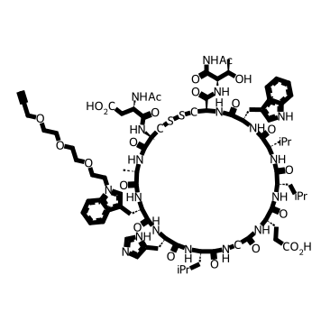 C#CCOCCOCCOCCn1cc(C[C@@H]2NC(=O)[C@H](C)NC(=O)[C@@H](NC(=O)[C@H](CC(=O)O)NC(C)=O)CSSC[C@@H](C(=O)N[C@H](C(=O)NC(C)=O)[C@@H](C)O)NC(=O)[C@H](Cc3c[nH]c4ccccc34)NC(=O)[C@H](C(C)C)NC(=O)[C@H](CC(C)C)NC(=O)[C@H](CCC(=O)O)NC(=O)CNC(=O)[C@H](CC(C)C)NC(=O)[C@H](Cc3cnc[nH]3)NC2=O)c2ccccc21